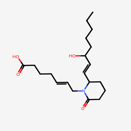 CCCCCC(O)C=CC1CCCC(=O)N1CC=CCCCC(=O)O